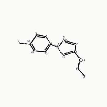 CCOc1cnn(-c2ccc(C)cc2)c1